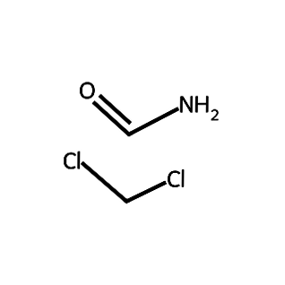 ClCCl.NC=O